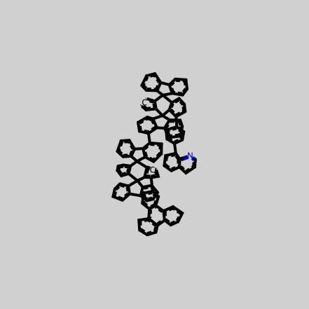 c1ccc2c(c1)-c1ccccc1C21c2ccccc2C2(c3ccccc3-c3c(-c4cccc5c4-c4ccccc4C54c5ccccc5C5(c6ccccc6-c6ccccc65)c5c(-c6ccc7c8ccccc8c8ccccc8c7c6)cccc54)cccc32)c2c(-c3ccc(-c4cccc5cccnc45)cc3)cccc21